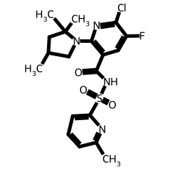 Cc1cccc(S(=O)(=O)NC(=O)c2cc(F)c(Cl)nc2N2CC(C)CC2(C)C)n1